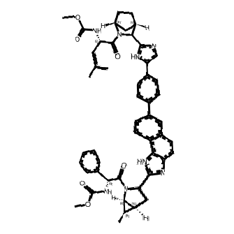 COC(=O)N[C@@H](C=C(C)C)C(=O)N1C(c2ncc(-c3ccc(-c4ccc5c(ccc6nc(C7C[C@H]8[C@@H](C)[C@H]8N7C(=O)[C@H](NC(=O)OC)c7ccccc7)[nH]c65)c4)cc3)[nH]2)[C@H]2CC[C@@H]1C2